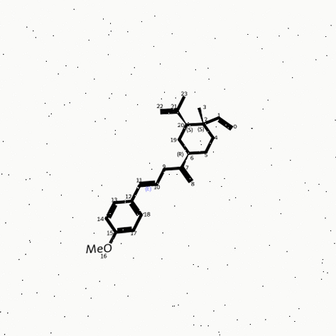 C=C[C@]1(C)CC[C@@H](C(=C)C/C=C/c2ccc(OC)cc2)C[C@H]1C(=C)C